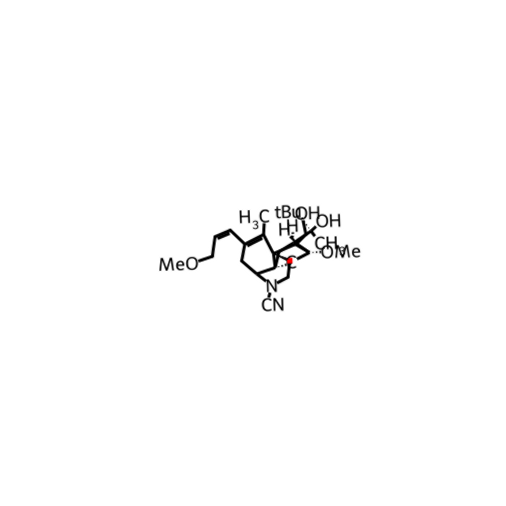 COC/C=C\C1=C(C)[C@@]23CCN(C#N)C(C1)[C@@]21CC[C@@](OC)([C@H]([C@](C)(O)C(C)(C)C)C1)[C@H]3CO